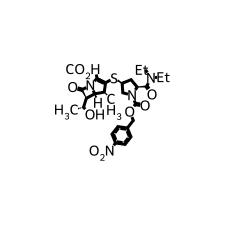 CCN(CC)C(=O)[C@@H]1C[C@H](SC2=C(C(=O)O)N3C(=O)[C@H]([C@@H](C)O)[C@H]3[C@H]2C)CN1C(=O)OCc1ccc([N+](=O)[O-])cc1